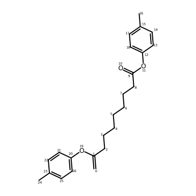 C=C(CCCCCCCC(=O)Oc1ccc(C)cc1)Oc1ccc(C)cc1